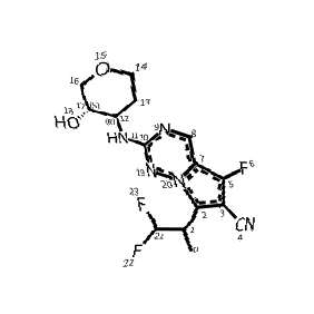 CC(c1c(C#N)c(F)c2cnc(N[C@@H]3CCOC[C@H]3O)nn12)C(F)F